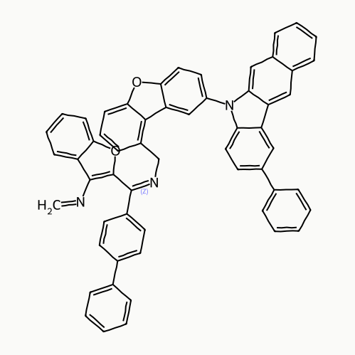 C=Nc1c(/C(=N\Cc2cccc3oc4ccc(-n5c6ccc(-c7ccccc7)cc6c6cc7ccccc7cc65)cc4c23)c2ccc(-c3ccccc3)cc2)oc2ccccc12